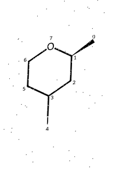 C[C@H]1CC(I)CCO1